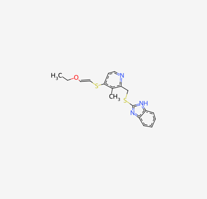 CCOC=CSc1ccnc(CSc2nc3ccccc3[nH]2)c1C